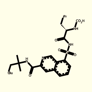 CC(C)C[C@H](NC(=O)O)C(=O)NS(=O)(=O)c1cccc2cc(C(=O)NC(C)(C)CC(C)(C)C)ncc12